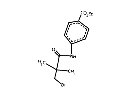 CCOC(=O)c1ccc(NC(=O)C(C)(C)CBr)cc1